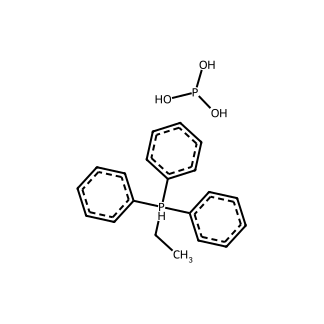 CC[PH](c1ccccc1)(c1ccccc1)c1ccccc1.OP(O)O